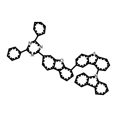 c1ccc(-c2nc(-c3ccccc3)nc(-c3ccc4c(c3)oc3c(-c5ccc6sc7cccc(-n8c9ccccc9c9ccccc98)c7c6c5)cccc34)n2)cc1